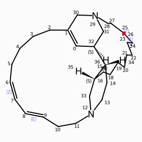 C1=C2CCCC/C=C\C=C\CCN3CC[C@@H]4[C@H](CCCCCC/C=C\C=C/CCN(C2)C[C@H]14)C3